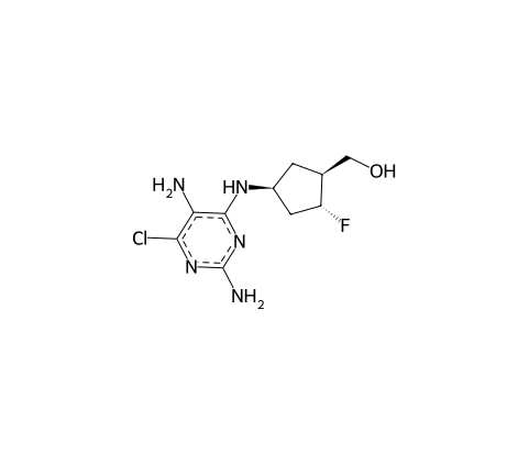 Nc1nc(Cl)c(N)c(N[C@H]2C[C@@H](CO)[C@H](F)C2)n1